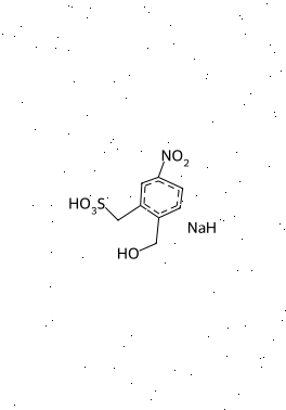 O=[N+]([O-])c1ccc(CO)c(CS(=O)(=O)O)c1.[NaH]